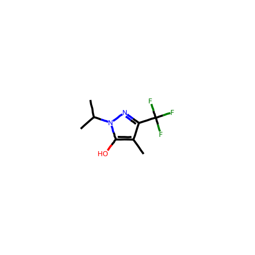 Cc1c(C(F)(F)F)nn(C(C)C)c1O